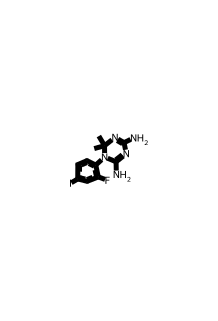 CC1(C)N=C(N)N=C(N)N1c1ccc(I)cc1F